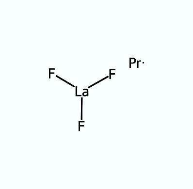 [F][La]([F])[F].[Pr]